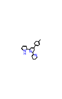 CC1=CC=C(C2=CC(C3C=CC=CN3)=NC(C3=CCCC=N3)C2)CC1